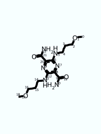 COCCCNc1nc(C(N)=O)c(NCCCOC)nc1C(N)=O